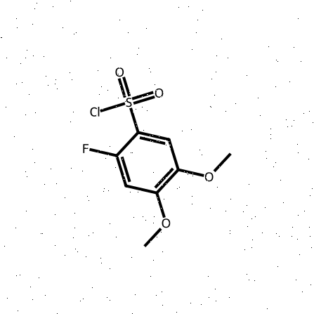 COc1cc(F)c(S(=O)(=O)Cl)cc1OC